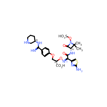 CC1(C)[C@H](NC(=O)/C(=N\O[C@@H](COc2ccc(C(=N)N[C@@H]3CCCNC3)cc2)C(=O)O)c2csc(N)n2)C(=O)N1OS(=O)(=O)O